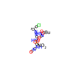 CC1(C)CCC(CN2CCN(c3ccc(C(=O)NS(=O)(=O)c4ccc(NC5CCN(C6CCOCC6)CC5)c([N+](=O)[O-])c4)c(Oc4ccnc(NC(=O)OC(C)(C)C)c4)c3)CC2)=C(c2ccc(Cl)cc2)C1